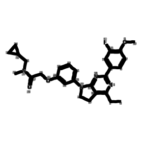 CCc1nc(-c2ccc(OC)c(F)c2)nc2c1CCN2c1cccc(OCC(=O)N(C)CC2CC2)c1